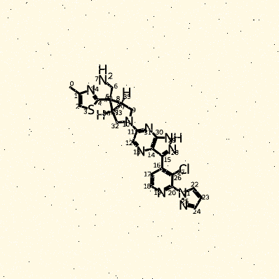 Cc1csc([C@]2(CN)[C@@H]3CN(c4cnc5c(-c6ccnc(-n7cccn7)c6Cl)n[nH]c5n4)C[C@@H]32)n1